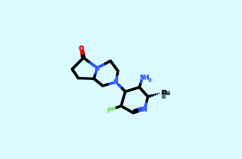 CC[C@@H](C)C1N=CC(F)C(N2CCN3C(=O)CCC3C2)C1N